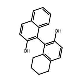 Oc1ccc2c(c1-c1c(O)ccc3ccccc13)CCCC2